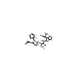 CC(Sc1nnc(C2CC2)n1-c1ccccc1)C(=O)Nc1oc2c(c1C(N)=O)CCC2